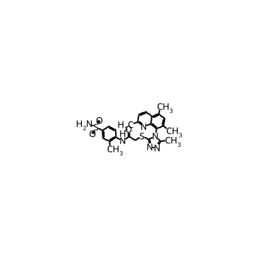 Cc1ccc2c(C)cc(C)c(-n3c(C)nnc3SCC(=O)Nc3ccc(S(N)(=O)=O)cc3C)c2n1